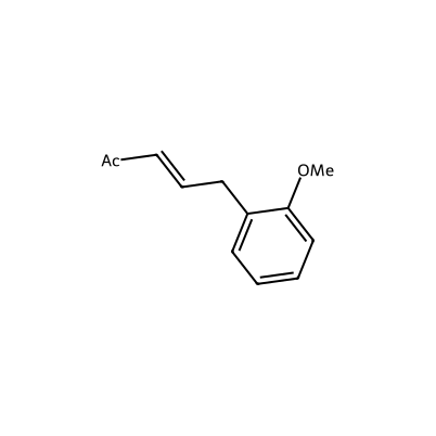 COc1ccccc1CC=CC(C)=O